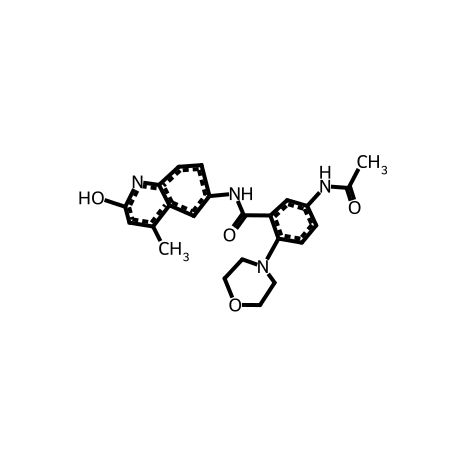 CC(=O)Nc1ccc(N2CCOCC2)c(C(=O)Nc2ccc3nc(O)cc(C)c3c2)c1